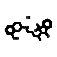 COc1cccc2c1OC(NCCCC(C)N1C(=O)c3ccccc3S1(=O)=O)CC2.Cl